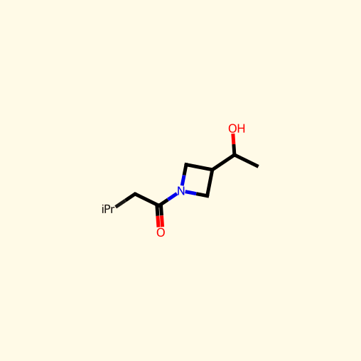 CC(C)CC(=O)N1CC(C(C)O)C1